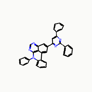 c1ccc(-c2cc(-c3cc4c5c(ncnc5c3)N(c3ccccc3)c3ccccc3-4)nc(-c3ccccc3)n2)cc1